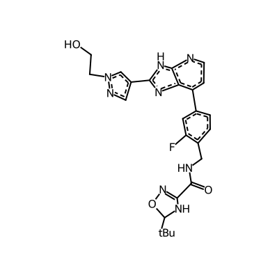 CC(C)(C)C1NC(C(=O)NCc2ccc(-c3ccnc4[nH]c(-c5cnn(CCO)c5)nc34)cc2F)=NO1